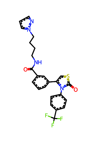 O=C(NCCCCn1cccn1)c1cccc(-c2csc(=O)n2-c2ccc(C(F)(F)F)cc2)c1